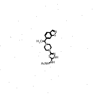 CC(=O)NNC1NN=C(N2CCN(C(C)c3ccc4cnsc4c3)CC2)S1